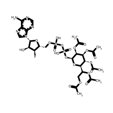 CC(=O)OCC(OC(C)=O)[C@H]1O[C@@H](OP(=O)(O)OP(=O)(O)OC[C@H]2O[C@@H](n3cnc4c(N)ncnc43)[C@H](O)[C@@H]2F)[C@@H](OC(C)=O)[C@@H](OC(C)=O)[C@@H]1OC(C)=O